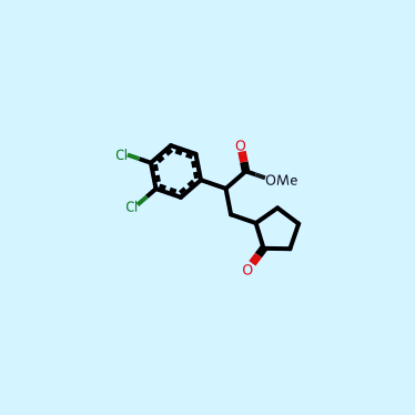 COC(=O)C(CC1CCCC1=O)c1ccc(Cl)c(Cl)c1